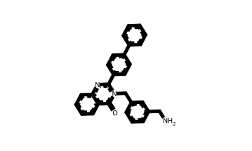 NCc1cccc(Cn2c(-c3ccc(-c4ccccc4)cc3)nc3ccccc3c2=O)c1